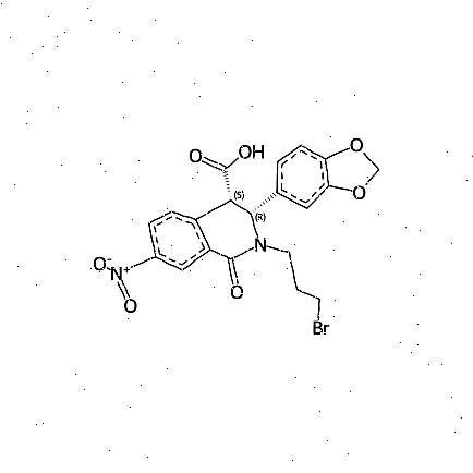 O=C(O)[C@H]1c2ccc([N+](=O)[O-])cc2C(=O)N(CCCBr)[C@H]1c1ccc2c(c1)OCO2